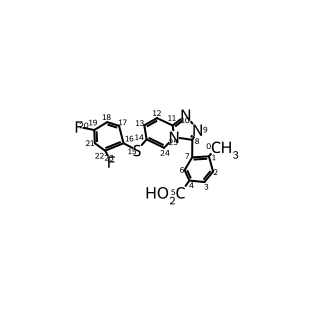 Cc1ccc(C(=O)O)cc1-c1nnc2ccc(Sc3ccc(F)cc3F)cn12